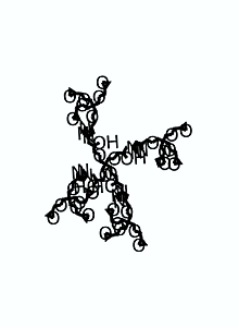 OC(COCC(COCC(O)Cn1cc(COCC(COCC2CO2)(COCC2CO2)COCC2CO2)nn1)(COCC(O)Cn1cc(COCC(COCC2CO2)(COCC2CO2)COCC2CO2)nn1)COCC(O)Cn1cc(COCC(COCC2CO2)(COCC2CO2)COC2CCO2)nn1)Cn1cc(COCC(COCC2CO2)(COCC2CO2)COCC2CO2)nn1